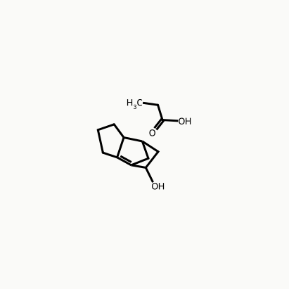 CCC(=O)O.OC1CC2CC1=C1CCCC12